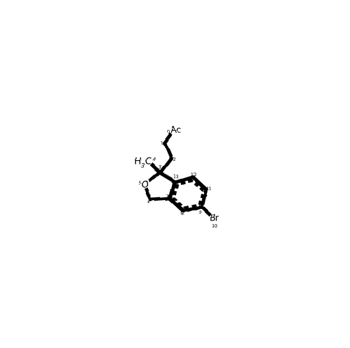 CC(=O)CCC1(C)OCc2cc(Br)ccc21